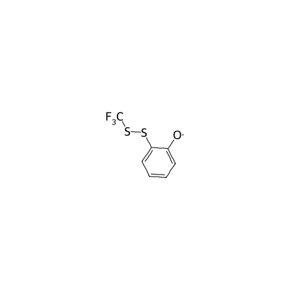 [O]c1ccccc1SSC(F)(F)F